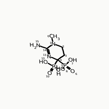 CN1CCC(P(=O)(O)O)(P(=O)(O)O)N=C1N